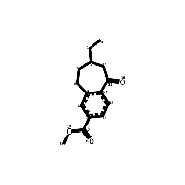 CCC1CCc2cc(C(=O)OC)ccc2C(=O)C1